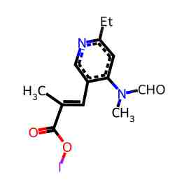 CCc1cc(N(C)C=O)c(/C=C(\C)C(=O)OI)cn1